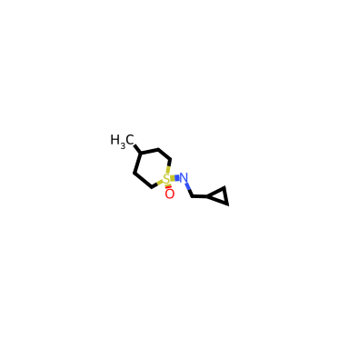 CC1CCS(=O)(=NCC2CC2)CC1